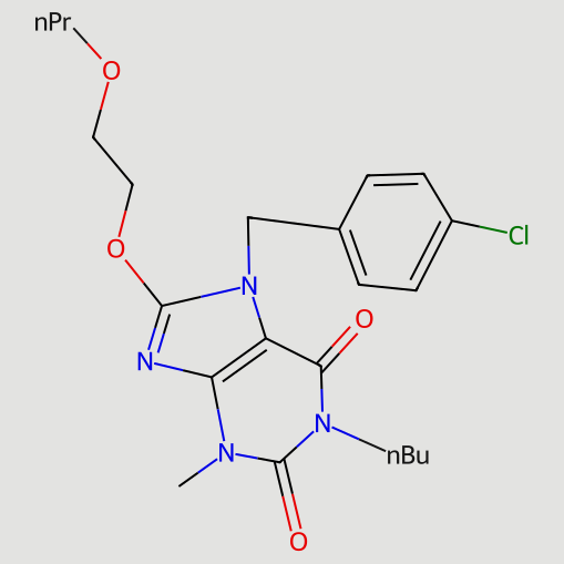 CCCCn1c(=O)c2c(nc(OCCOCCC)n2Cc2ccc(Cl)cc2)n(C)c1=O